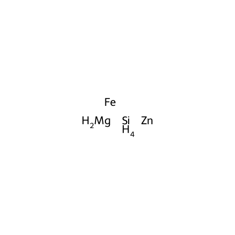 [Fe].[MgH2].[SiH4].[Zn]